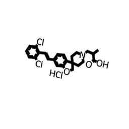 CC(CN1CCC2(CC1)COc1cc(C=Cc3c(Cl)cccc3Cl)ccc12)C(=O)O.Cl